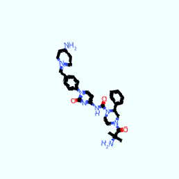 CC(C)(N)C(=O)N1CCN(C(=O)Nc2ccn(-c3ccc(CN4CCC(N)CC4)cc3)c(=O)n2)C(c2ccccc2)C1